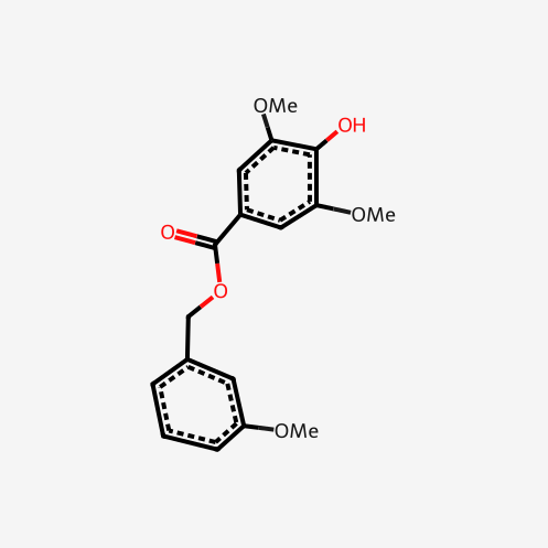 COc1cccc(COC(=O)c2cc(OC)c(O)c(OC)c2)c1